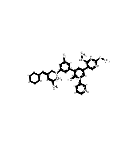 COc1ncc(-c2cc(-c3cc(Cl)cc(OC/C(C=C(C)C)=C/C4CCCCC4)c3)c(=O)n(-c3cccnc3)c2)c(OC)n1